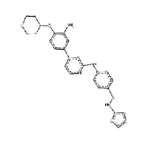 Nc1cc(-c2ccnc(Nc3ccc(SNc4nccs4)cc3)n2)ccc1OC1CCOCC1